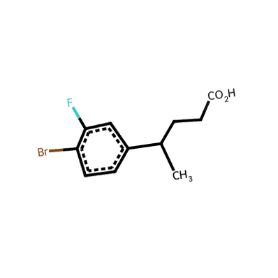 CC(CCC(=O)O)c1ccc(Br)c(F)c1